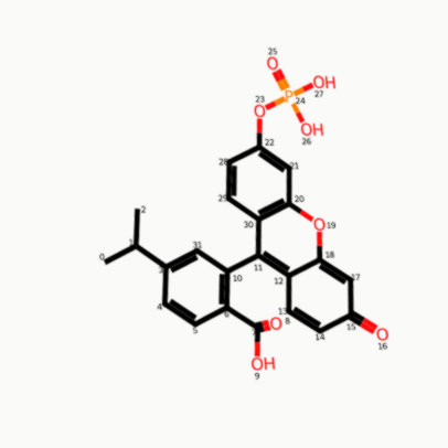 CC(C)c1ccc(C(=O)O)c(-c2c3ccc(=O)cc-3oc3cc(OP(=O)(O)O)ccc23)c1